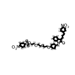 O=C1/C(=C/C=C/c2ccc([N+](=O)[O-])cc2)c2ccccc2N1Cc1ccc(OCCOCCOCCOS(=O)(=O)c2ccc([N+](=O)[O-])cc2)cc1